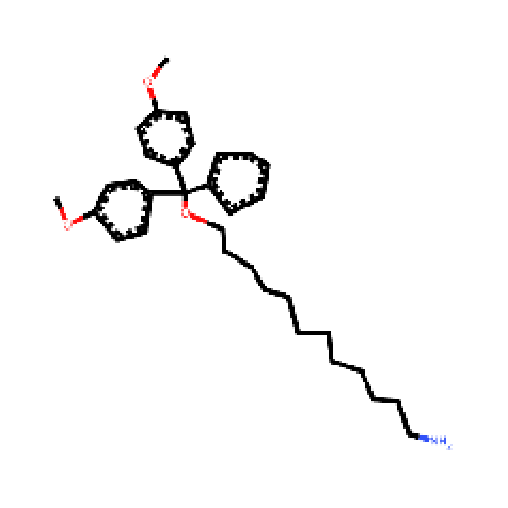 COc1ccc(C(OCCCCCCCCCCCCN)(c2ccccc2)c2ccc(OC)cc2)cc1